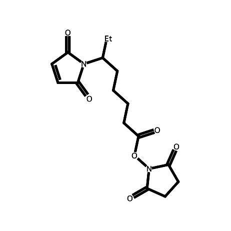 CCC(CCCCC(=O)ON1C(=O)CCC1=O)N1C(=O)C=CC1=O